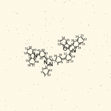 c1ccc(-c2nc(-c3ccc(-c4cccc(-c5nc6cc7ccccc7cc6c6c5oc5ccccc56)c4)cc3)cc(-c3cccc(-n4c5ccccc5c5ccccc54)c3)n2)cc1